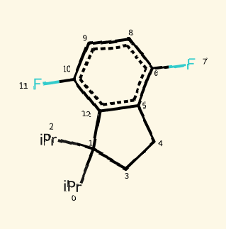 CC(C)C1(C(C)C)CCc2c(F)ccc(F)c21